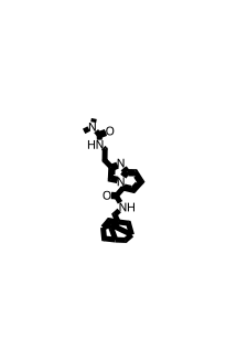 CN(C)C(=O)NCCc1cn2c(C(=O)NCC34CC5CC(CC(C5)C3)C4)cccc2n1